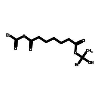 CCC(=O)OC(=O)CCCCCC(=O)OC(C)(O)CC